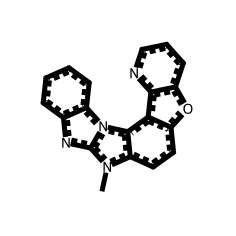 Cn1c2ccc3oc4cccnc4c3c2n2c3ccccc3nc12